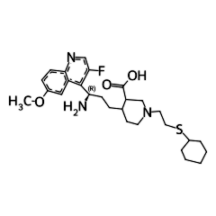 COc1ccc2ncc(F)c([C@H](N)CCC3CCN(CCSC4CCCCC4)CC3C(=O)O)c2c1